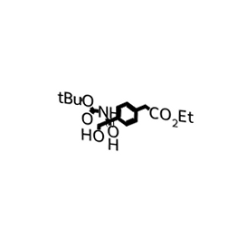 CCOC(=O)Cc1ccc([C@](O)(CO)NC(=O)OC(C)(C)C)cc1